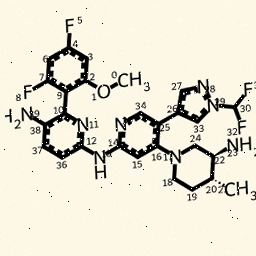 COc1cc(F)cc(F)c1-c1nc(Nc2cc(N3CC[C@@H](C)[C@H](N)C3)c(-c3cnn(C(F)F)c3)cn2)ccc1N